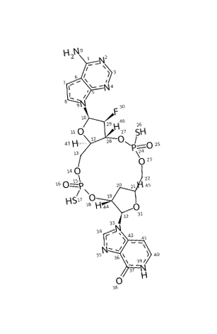 Nc1ncnc2c1ccn2[C@@H]1O[C@@H]2COP(=O)(S)O[C@@H]3C[C@@H](COP(=O)(S)O[C@H]2[C@@H]1F)O[C@H]3n1cnc2c(=O)[nH]ccc21